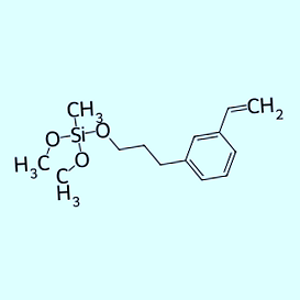 C=Cc1cccc(CCCO[Si](C)(OC)OC)c1